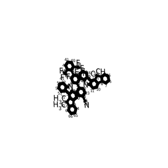 CC1(C)c2ccccc2-c2ccc3c(c21)c1ccccc1n3-c1cc(C#N)ccc1-c1ccc(-c2c(C(F)(F)F)cccc2C(F)(F)F)cc1-n1c2ccccc2c2c3c(ccc21)-c1ccccc1C3(C)C